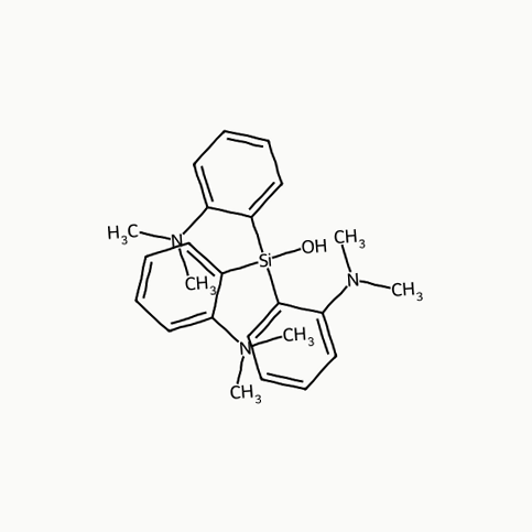 CN(C)c1ccccc1[Si](O)(c1ccccc1N(C)C)c1ccccc1N(C)C